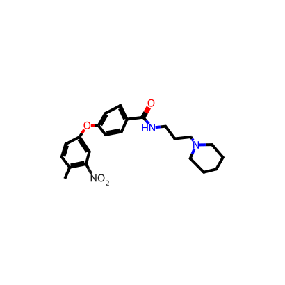 Cc1ccc(Oc2ccc(C(=O)NCCCN3CCCCC3)cc2)cc1[N+](=O)[O-]